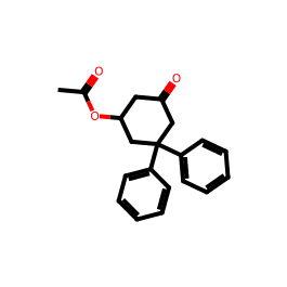 CC(=O)OC1CC(=O)CC(c2ccccc2)(c2ccccc2)C1